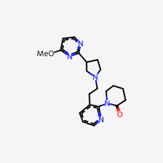 COc1ccnc(C2CCN(CCc3cccnc3N3CCCCC3=O)C2)n1